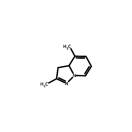 CC1=CC=CN2N=C(C)CC12